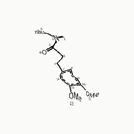 CCCCN(C)C(=O)CCc1ccc(OC)c(OC)c1